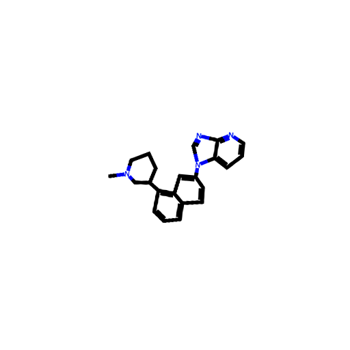 CN1CCCC(c2cccc3ccc(-n4cnc5ncccc54)cc23)C1